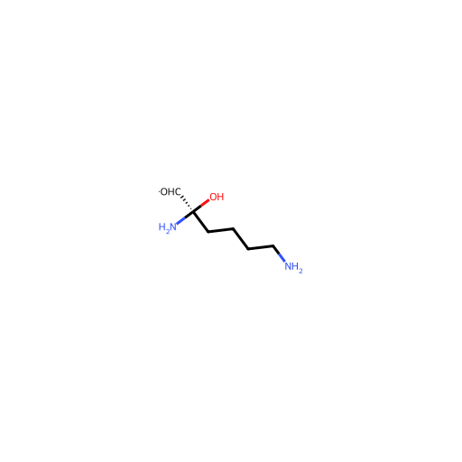 NCCCC[C@@](N)(O)[C]=O